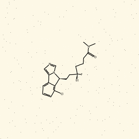 CC[C@](F)(CCCC(=O)N(C)C)CC[C@H]1c2c(Cl)cccc2-c2cncn21